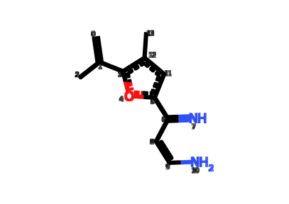 C=C(C)c1oc(C(=N)/C=C\N)cc1C